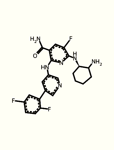 NC(=O)c1cc(F)c(N[C@@H]2CCCCC2N)nc1Nc1cncc(-c2cc(F)ccc2F)c1